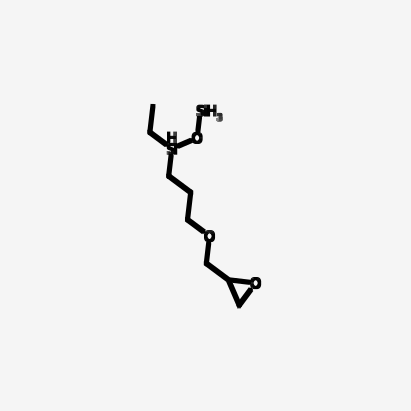 CC[SiH](CCCOCC1CO1)O[SiH3]